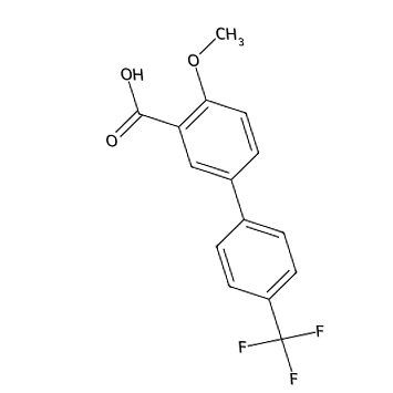 COc1ccc(-c2ccc(C(F)(F)F)cc2)cc1C(=O)O